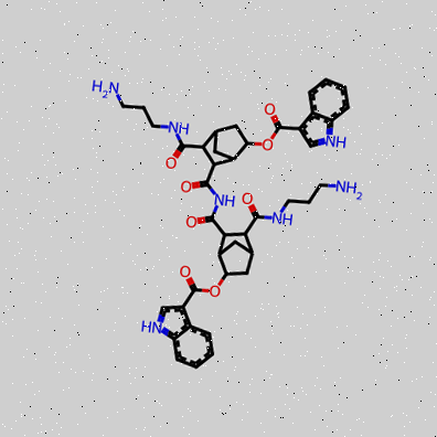 NCCCNC(=O)C1C2CC(OC(=O)c3c[nH]c4ccccc34)C(C2)C1C(=O)NC(=O)C1C2CC(CC2OC(=O)c2c[nH]c3ccccc23)C1C(=O)NCCCN